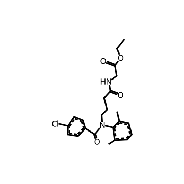 CCOC(=O)CNC(=O)CCCN(C(=O)c1ccc(Cl)cc1)c1c(C)cccc1C